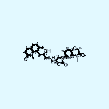 Cn1c(=O)ccc2ccc(F)c(CC(O)CNC[C@H]3CN(c4ccc5c(n4)NC(=O)CO5)C(=O)O3)c21